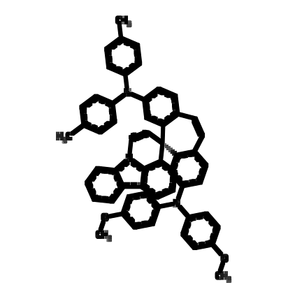 COc1ccc(N(c2ccc(OC)cc2)c2ccc3c(c2)[C@@]2(c4cc(N(c5ccc(C)cc5)c5ccc(C)cc5)ccc4C=C3)c3ccccc3-n3c4ccccc4c4cccc2c43)cc1